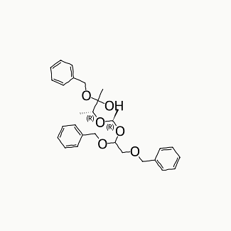 C[C@@H](OC(COCc1ccccc1)OCc1ccccc1)O[C@H](C)C(C)(O)OCc1ccccc1